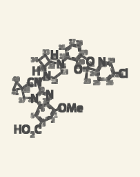 COc1cc(C(=O)O)cc2c1nc(CN1CCN(c3cccc4c3O[C@@](C)(c3ccc(Cl)cn3)O4)[C@@H]3CC[C@@H]31)n2CC1(C#N)CC1